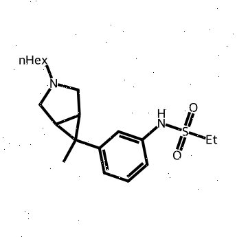 CCCCCCN1CC2C(C1)C2(C)c1cccc(NS(=O)(=O)CC)c1